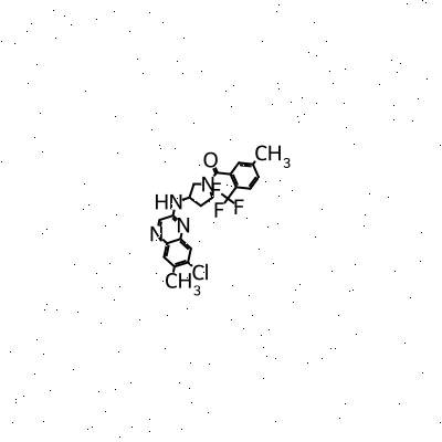 Cc1ccc(C(F)(F)F)c(C(=O)N2CCC(Nc3cnc4cc(C)c(Cl)cc4n3)C2)c1